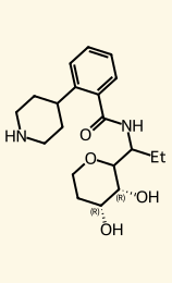 CCC(NC(=O)c1ccccc1C1CCNCC1)C1OCC[C@@H](O)[C@H]1O